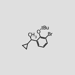 C[C@@H](c1cccc(Br)c1OC(C)(C)C)C1CC1